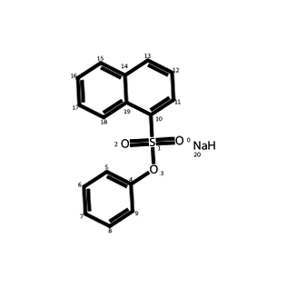 O=S(=O)(Oc1ccccc1)c1cccc2ccccc12.[NaH]